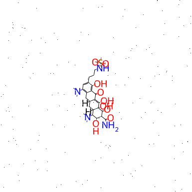 CN(C)c1cc(CCCNS(C)(=O)=O)c(O)c2c1C[C@H]1C[C@H]3[C@H](N(C)C)C(O)C(C(N)=O)C(=O)[C@@]3(O)C(O)=C1C2=O